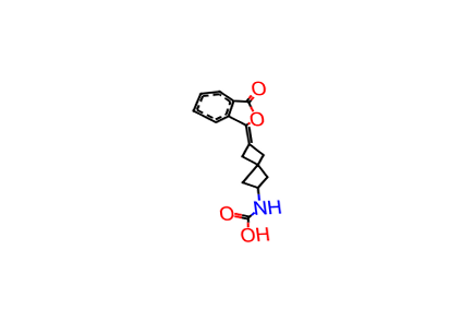 O=C(O)NC1CC2(CC(=C3OC(=O)c4ccccc43)C2)C1